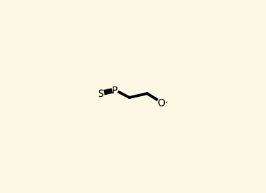 [O]CCP=S